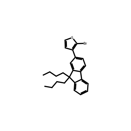 CCCCC1(CCCC)c2ccccc2-c2ccc(-c3ccsc3Br)cc21